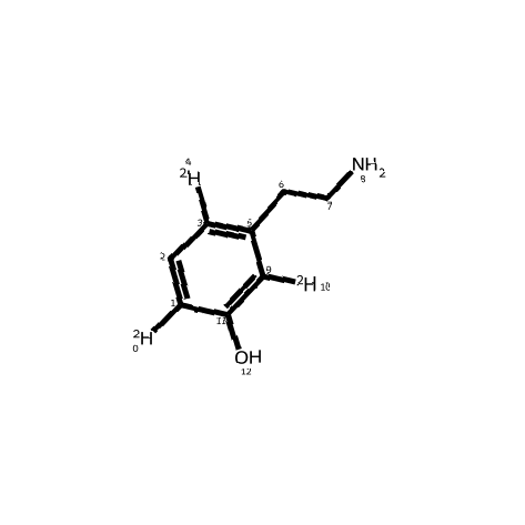 [2H]c1cc([2H])c(CCN)c([2H])c1O